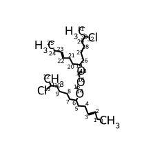 CCC=CCCC(CCCCC(C)Cl)OCOCOC(CCC=CCC)CCCCC(C)Cl